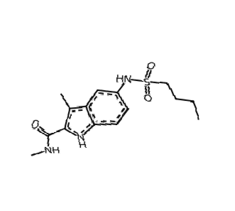 CCCCS(=O)(=O)Nc1ccc2[nH]c(C(=O)NC)c(C)c2c1